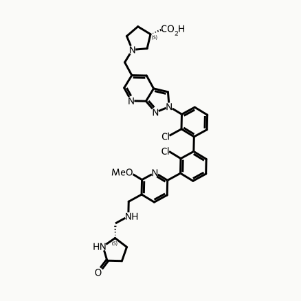 COc1nc(-c2cccc(-c3cccc(-n4cc5cc(CN6CC[C@H](C(=O)O)C6)cnc5n4)c3Cl)c2Cl)ccc1CNC[C@@H]1CCC(=O)N1